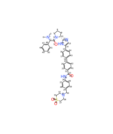 CN(C)[C@@H](C(=O)N1CCC[C@@H]1c1ncc(-c2ccc(-c3ccc(C(=O)Nc4ccc(CN5CCS(=O)(=O)CC5)cc4)cc3)cc2)[nH]1)c1ccccc1